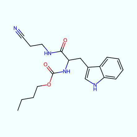 CCCCOC(=O)NC(Cc1c[nH]c2ccccc12)C(=O)NCCC#N